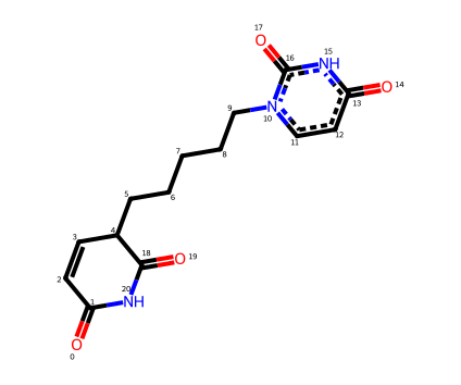 O=C1C=CC(CCCCCn2ccc(=O)[nH]c2=O)C(=O)N1